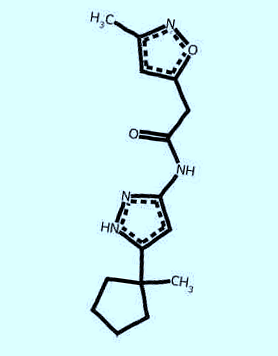 Cc1cc(CC(=O)Nc2cc(C3(C)C[CH]CC3)[nH]n2)on1